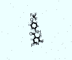 O=C(Nc1ccc(OC(F)(F)F)cc1)c1cc(F)nc(F)c1F